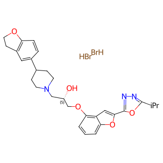 Br.Br.CC(C)c1nnc(-c2cc3c(OC[C@@H](O)CN4CCC(c5ccc6c(c5)CCO6)CC4)cccc3o2)o1